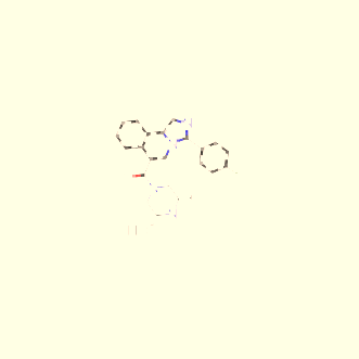 C[C@@H]1CN(C(=O)c2cn3c(-c4ccc(F)cc4)ncc3c3ccccc23)C[C@H](C)N1